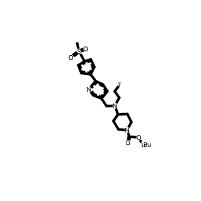 CC(C)(C)OC(=O)N1CCC(N(CCF)Cc2ccc(-c3ccc(S(C)(=O)=O)cc3)nc2)CC1